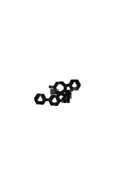 CC1CCc2c([nH]c3ccccc23)C2(N1)C(=O)Nc1ccc(-c3ccccc3)cc12